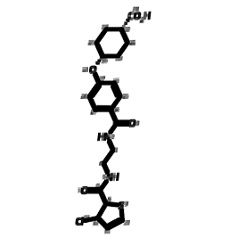 O=C(NCCNC(=O)C1SC=CC1Cl)c1ccc(O[C@H]2CC[C@@H](C(=O)O)CC2)cc1